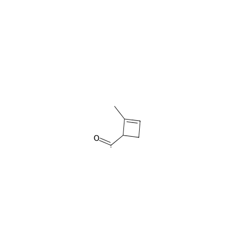 CC1=CCC1[C]=O